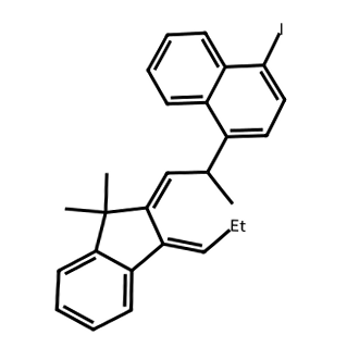 CC/C=C1\C(=C/C(C)c2ccc(I)c3ccccc23)C(C)(C)c2ccccc21